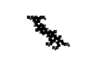 CCCN(CCC)C(=O)C1=Cc2c(Cl)cc(-c3ccc4c(=O)n(Cc5nc(C)cc(C)n5)ncc4c3)cc2N=C(N)C1